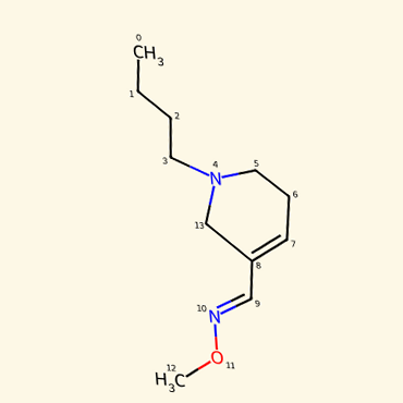 CCCCN1CCC=C(/C=N/OC)C1